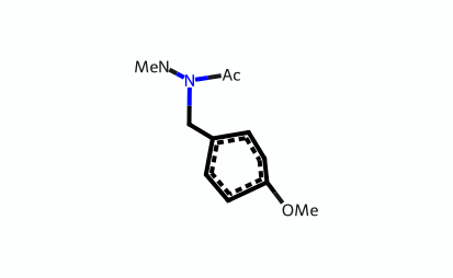 CNN(Cc1ccc(OC)cc1)C(C)=O